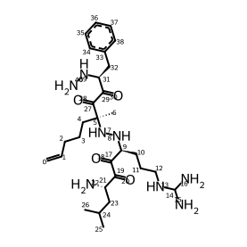 C=CCCC[C@](C)(NN[C@@H](CCCNC(N)N)C(=O)C(=O)[C@@H](N)CC(C)C)C(=O)C(=O)[C@H](Cc1ccccc1)NN